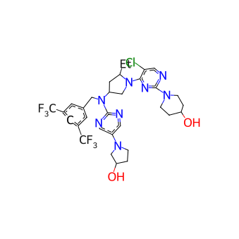 CCC1CC(N(Cc2cc(C(F)(F)F)cc(C(F)(F)F)c2)c2ncc(N3CCC(O)C3)cn2)CN1c1nc(N2CCC(O)CC2)ncc1Cl